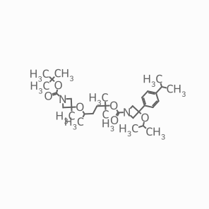 CC(C)OC1(c2ccc(C(C)C)cc2)CN(C(=O)OC(C)(C)CCC(C)OC2(C)CN(C(=O)OC(C)(C)C)C2)C1